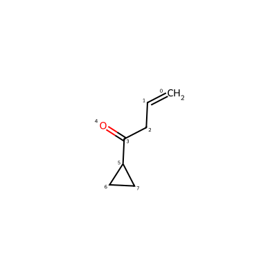 C=CCC(=O)C1CC1